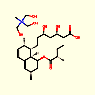 CC[C@H](C)C(=O)O[C@H]1C[C@@H](C)C=C2C=C[C@H](C)[C@H](CC[C@@H](O)C[C@@H](O)CC(=O)O)[C@H]21.C[N+](CO)(CO)CO